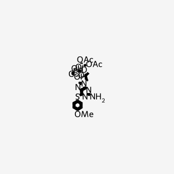 COc1ccc(Sc2nc(N)nc3c2ncn3CC(C)OC(OCOC(C)=O)(OCOC(C)=O)P(=O)(O)O)cc1